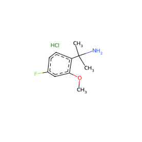 COc1cc(F)ccc1C(C)(C)N.Cl